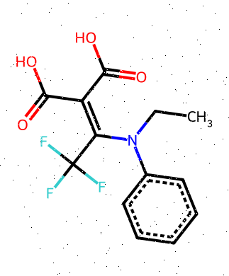 CCN(C(=C(C(=O)O)C(=O)O)C(F)(F)F)c1ccccc1